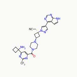 N#CC[C@]1(n2cc(-c3ncnc4[nH]ccc34)cn2)C[C@@H](N2CCN(C(=O)c3cc(C4(N)CCC4)nc(C(F)(F)F)n3)CC2)C1